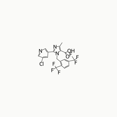 Cc1nc(-c2cncc(Cl)c2)n(Cc2cc(C(F)(F)F)ccc2C(F)(F)F)c1C(=O)O